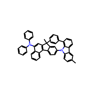 Cc1ccc2c(c1)c1cccc(-c3ccccc3)c1n2-c1ccc2c(c1)C(C)(C)c1cc(N(c3ccccc3)c3ccccc3)c3ccccc3c1-2